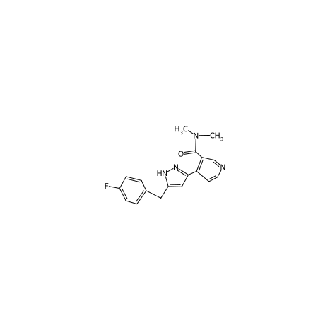 CN(C)C(=O)c1cnccc1-c1cc(Cc2ccc(F)cc2)[nH]n1